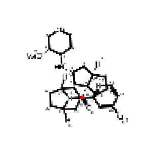 CO[C@@H]1COCC[C@H]1N[C@@H]1C[C@H]2CCC[C@@]2(C(=O)N2[C@@H]3CC[C@H]2CN(c2cc(C(F)(F)F)ccn2)C3)C1